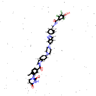 Cc1ccc(C(=O)N2CCC3(CCC(N4CCN(c5ccc6cn([C@H]7CC[C@H](CNC(=O)c8cc(F)c(O)c(F)c8F)CC7)nc6c5)CC4)CC3)C2)cc1N1CCC(=O)NC1=O